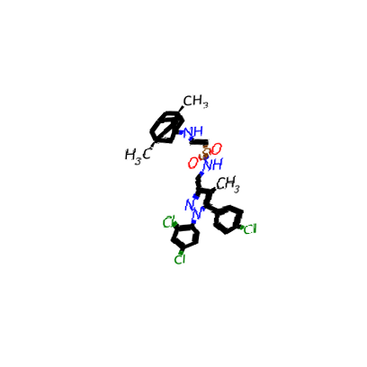 Cc1c(CNS(=O)(=O)CCNC23CC4C[C@@](C)(C2)C[C@](C)(C4)C3)nn(-c2ccc(Cl)cc2Cl)c1-c1ccc(Cl)cc1